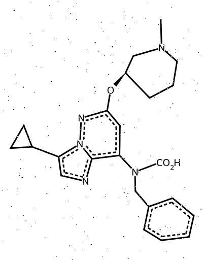 CN1CCC[C@@H](Oc2cc(N(Cc3ccccc3)C(=O)O)c3ncc(C4CC4)n3n2)C1